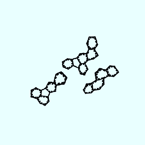 c1ccc2c(c1)-c1cccc3c1c-2cc1c2ccccc2ccc31.c1ccc2c(c1)ccc1c3ccccc3ccc21.c1ccc2cc3c(cc2c1)-c1cccc2cccc-3c12